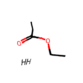 CCOC(C)=O.[HH]